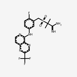 CC(C)(C(=N)N)S(=O)(=O)Cc1cc(Nc2nccc3nc(C(F)(F)F)cnc23)ccc1F